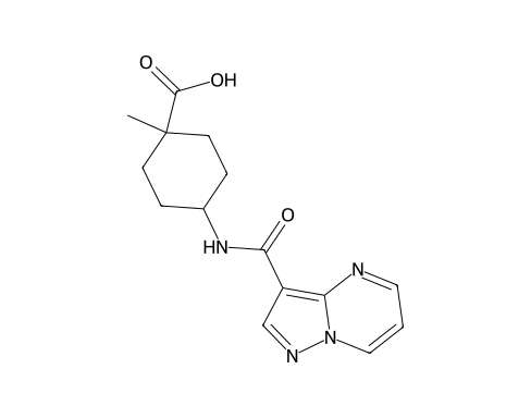 CC1(C(=O)O)CCC(NC(=O)c2cnn3cccnc23)CC1